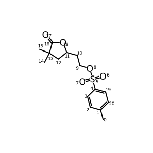 Cc1ccc(S(=O)(=O)OCCC2CC(C)(C)C(=O)O2)cc1